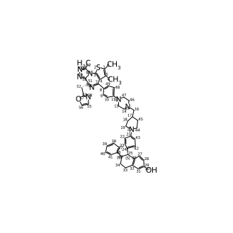 Cc1sc2c(c1C)C(c1ccc(N3CCN(CC4CCN(c5ccc([C@H]6c7ccc(O)cc7CC[C@H]6c6ccccc6)cc5)CC4)CC3)cc1)=N[C@H](Cc1ncco1)c1nnc(C)n1-2